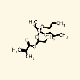 C=C(C)C(=O)OC(CC)O[Si](CC)(OCCC)OCCC